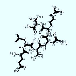 CC(C)C[C@H](NC(=O)[C@@H](N)CCC(=O)O)C(=O)N[C@H](C(=O)N[C@@H](CC(N)=O)C(=O)N[C@@H](CCCNC(=N)N)C(=O)N[C@H](C(=O)O)[C@@H](C)O)[C@@H](C)O